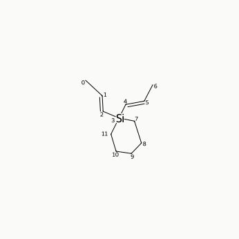 CC=C[Si]1(C=CC)CCCCC1